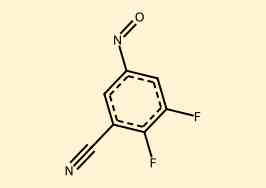 N#Cc1cc(N=O)cc(F)c1F